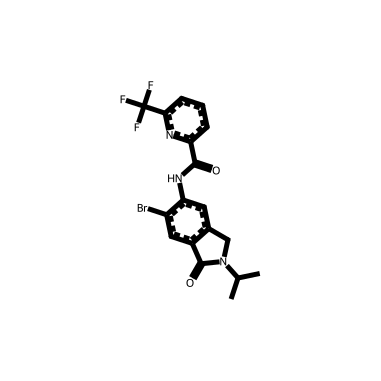 CC(C)N1Cc2cc(NC(=O)c3cccc(C(F)(F)F)n3)c(Br)cc2C1=O